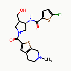 CN1CCc2cc(C(=O)N3CC(CO)[C@@H](NC(=O)c4ccc(Cl)s4)C3)sc2C1